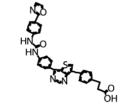 O=C(O)CCc1ccc(-c2csc3c(-c4ccc(NC(=O)Nc5ccc(-c6ncco6)cc5)cc4)ncnc23)cc1